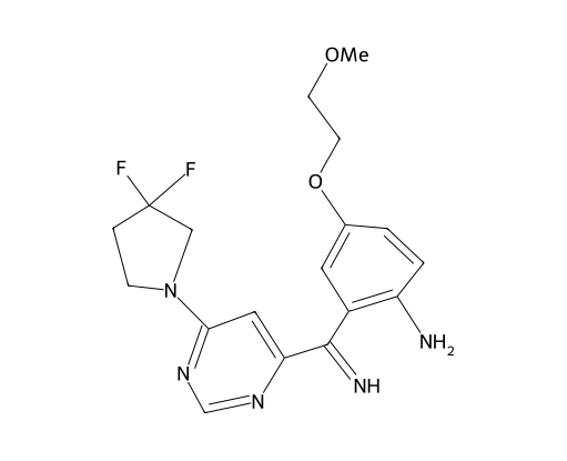 COCCOc1ccc(N)c(C(=N)c2cc(N3CCC(F)(F)C3)ncn2)c1